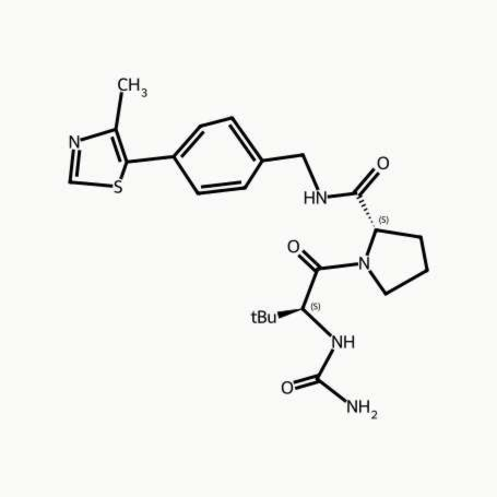 Cc1ncsc1-c1ccc(CNC(=O)[C@@H]2CCCN2C(=O)[C@@H](NC(N)=O)C(C)(C)C)cc1